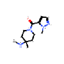 CC(C)NC1(C)CCN(C(=O)c2ccnn2C)CC1